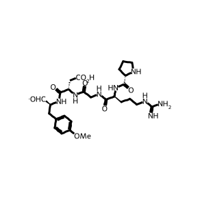 COc1ccc(C[C@@H]([C]=O)NC(=O)[C@H](CC(=O)O)NC(=O)CNC(=O)[C@H](CCCNC(=N)N)NC(=O)[C@@H]2CCCN2)cc1